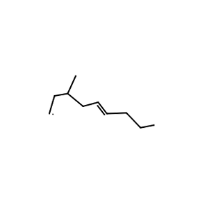 [CH2]CC(C)CC=CCCC